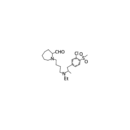 CCN(CCCCN1CCCCCC1C=O)C(C)Cc1ccc(S(C)(=O)=O)c(Cl)c1